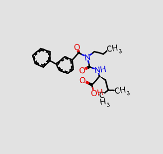 CCCN(C(=O)N[C@@H](CC(C)C)C(=O)O)C(=O)c1cccc(-c2ccccc2)c1